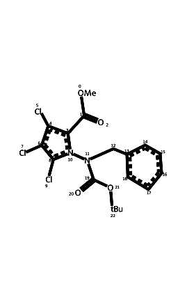 COC(=O)c1c(Cl)c(Cl)c(Cl)n1N(Cc1ccccc1)C(=O)OC(C)(C)C